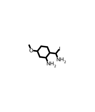 COC1CCC(C(N)I)C(N)C1